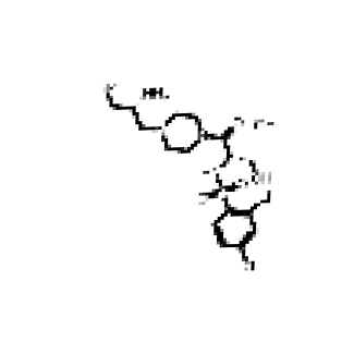 CC(C)C[C@H](N)CN1CCN(C(=O)[C@H](CO)NS(=O)(=O)c2ccc(Cl)cc2Cl)CC1.Cl